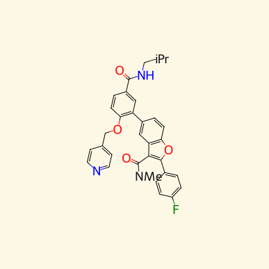 CNC(=O)c1c(-c2ccc(F)cc2)oc2ccc(-c3cc(C(=O)NCC(C)C)ccc3OCc3ccncc3)cc12